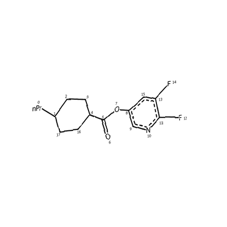 CCCC1CCC(C(=O)Oc2cnc(F)c(F)c2)CC1